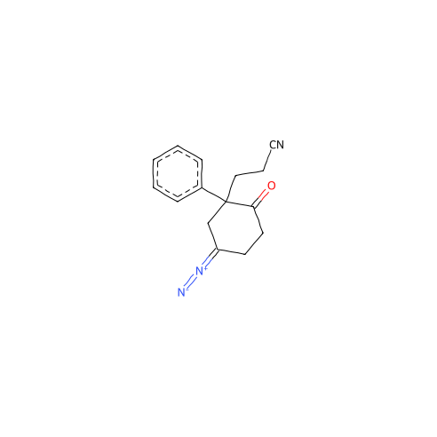 N#CCCC1(c2ccccc2)CC(=[N+]=[N-])CCC1=O